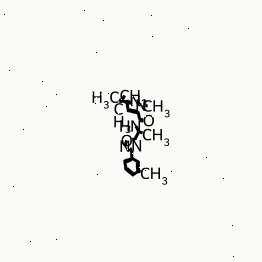 Cc1cccc(-c2noc(C(C)NC(=O)c3cc(C(C)(C)C)nn3C)n2)c1